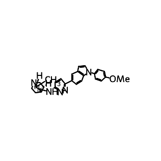 COc1ccc(-n2ccc3cc(-c4ccc(N[C@H]5C6CCN(CC6)[C@@H]5C)nn4)ccc32)cc1